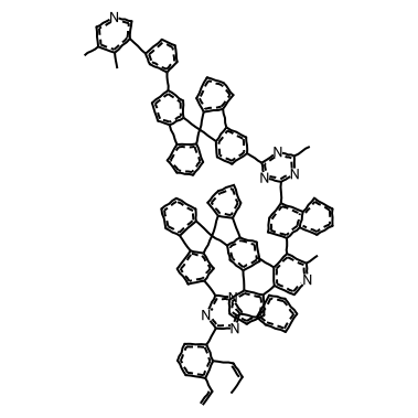 C=Cc1cccc(-c2nc(-c3ccccc3)nc(-c3ccc4c(c3)C3(c5ccccc5-4)c4ccccc4-c4ccc(-c5ccccc5-c5cnc(C)c(-c6ccc(-c7nc(C)nc(-c8ccc9c(c8)-c8ccccc8C98c9ccccc9-c9ccc(-c%10cccc(-c%11cncc(C)c%11C)c%10)cc98)n7)c7ccccc67)c5C)cc43)n2)c1/C=C\C